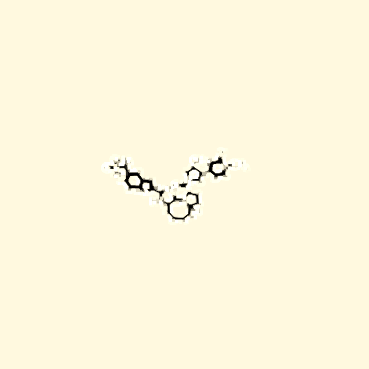 C[C@H]1CN(C(=O)[C@@H]2CC[C@@H]3CCCCC(NC(=O)c4cc5cc(C(F)P(=O)(O)O)ccc5s4)C(=O)N32)C[C@@H]1c1ccn(C)c(=O)c1